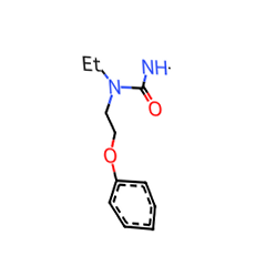 CCN(CCOc1ccccc1)C([NH])=O